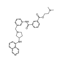 CN(C)CCOC(=O)c1cccc(C(=O)Nc2cccc(CN3CCC(Nc4cccc5cnccc45)C3)c2)c1